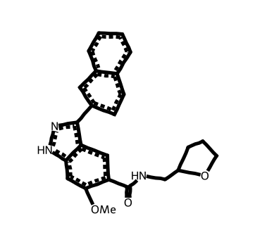 COc1cc2[nH]nc(-c3ccc4ccccc4c3)c2cc1C(=O)NCC1CCCO1